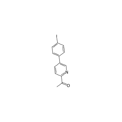 CC(=O)c1ccc(-c2ccc(I)cc2)cn1